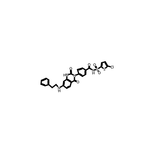 O=C(NS(=O)(=O)c1ccc(Cl)s1)c1ccc(-n2c(=O)[nH]c3cc(NCCc4ccccc4)ccc3c2=O)cc1